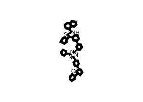 c1ccc(-c2nc(-c3ccc(-c4cccc5c4oc4ccccc45)cc3)nc(-c3cccc(-c4ccc5c(c4)-c4c(sc6ccccc46)C(c4cccc6ccccc46)N5)c3)n2)cc1